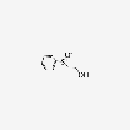 [O-][S+](CCO)c1ccccc1